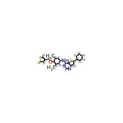 Cc1cc(Nc2ncnc3cc(-c4ccccc4)sc23)cc(C)c1OCc1ccsc1